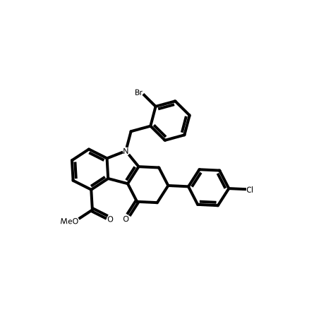 COC(=O)c1cccc2c1c1c(n2Cc2ccccc2Br)CC(c2ccc(Cl)cc2)CC1=O